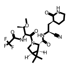 CO[C@H](C)[C@H](NC(=O)C(F)(F)F)C(=O)N1C[C@H]2[C@@H]([C@H]1C(=O)N[C@H](C#N)C[C@@H]1CCCNC1=O)C2(C)C